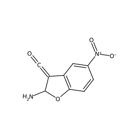 NC1Oc2ccc([N+](=O)[O-])cc2C1=C=O